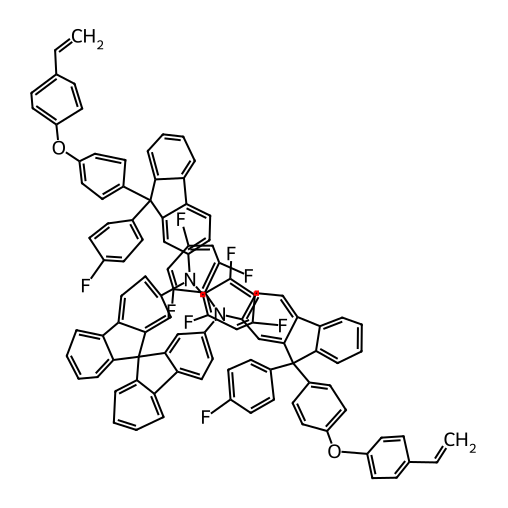 C=Cc1ccc(Oc2ccc(C3(c4ccc(F)cc4)c4ccccc4-c4ccc(N(c5ccc6c(c5)C5(c7ccccc7-6)c6ccccc6-c6ccc(N(c7ccc8c(c7)C(c7ccc(F)cc7)(c7ccc(Oc9ccc(C=C)cc9)cc7)c7ccccc7-8)c7c(F)cc(F)cc7F)cc65)c5c(F)cc(F)cc5F)cc43)cc2)cc1